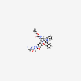 CC(NC(=O)C(N)C(C)C)C(=O)Nc1ccc(C(=O)N(CCCNC(=O)OCC[Si](C)(C)C)C(c2cc(-c3cc(F)ccc3F)cn2Cc2ccccc2)C(C)(C)C)cc1